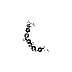 CC(=O)c1ccc(Oc2ccc(NC(=O)c3ccc(C(=O)N4CCN(c5ccc(S(=O)(=O)C(C)C)cc5)CC4)nc3)cn2)cc1